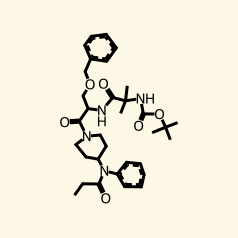 CCC(=O)N(c1ccccc1)C1CCN(C(=O)C(COCc2ccccc2)NC(=O)C(C)(C)NC(=O)OC(C)(C)C)CC1